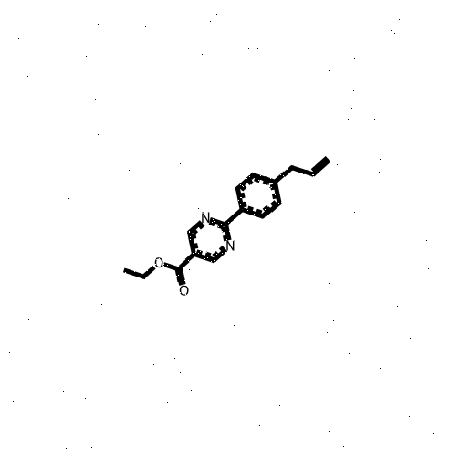 C=CCc1ccc(-c2ncc(C(=O)OCC)cn2)cc1